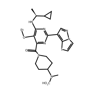 CCOc1c(N[C@@H](C)C2CC2)nc(-c2cnn3ccsc23)nc1C(=O)N1CCC(N(C)C(=O)O)CC1